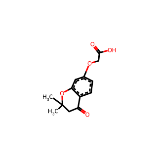 CC1(C)CC(=O)c2ccc(OCC(=O)O)cc2O1